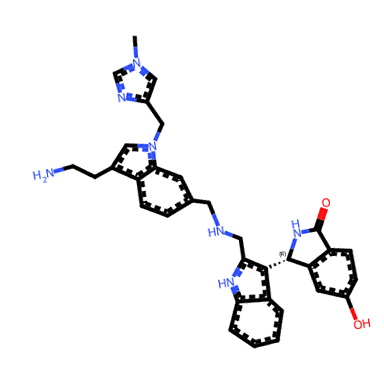 Cn1cnc(Cn2cc(CCN)c3ccc(CNCc4[nH]c5ccccc5c4[C@@H]4NC(=O)c5ccc(O)cc54)cc32)c1